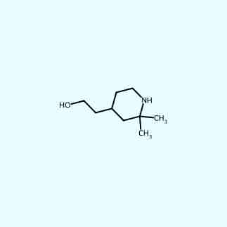 CC1(C)CC(CCO)CCN1